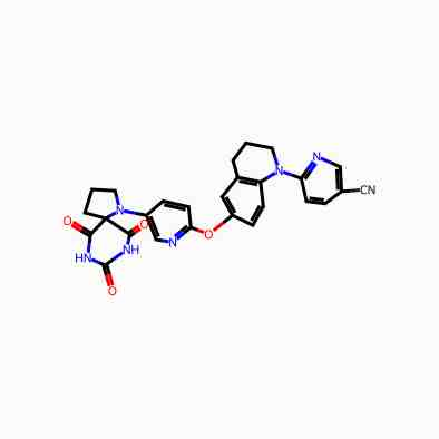 N#Cc1ccc(N2CCCc3cc(Oc4ccc(N5CCCC56C(=O)NC(=O)NC6=O)cn4)ccc32)nc1